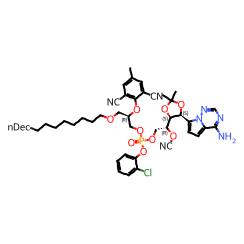 CCCCCCCCCCCCCCCCCCOC[C@H](COP(=O)(OC[C@@H](OC#N)[C@H]1OC(C)(C)O[C@H]1c1ccc2c(N)ncnn12)Oc1ccccc1Cl)Oc1c(C#N)cc(C)cc1C#N